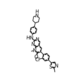 Cc1ncc(-c2ccc(-c3cc4cnc(Nc5ccc(C6CCNCC6)cc5)nc4n(C)c3=O)c(Cl)c2)s1